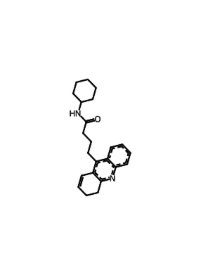 O=C(CCCc1c2c(nc3ccccc13)CCC=C2)NC1CCCCC1